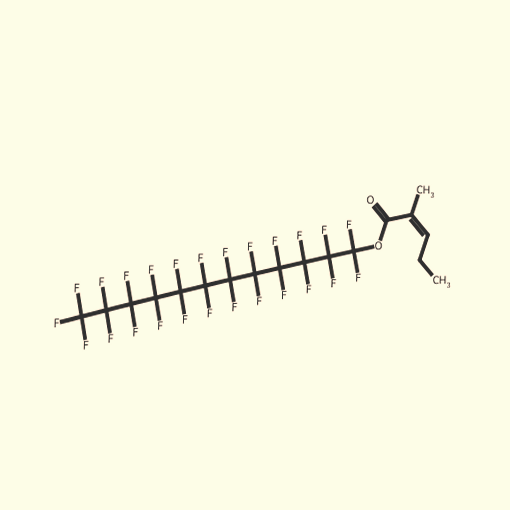 CCC=C(C)C(=O)OC(F)(F)C(F)(F)C(F)(F)C(F)(F)C(F)(F)C(F)(F)C(F)(F)C(F)(F)C(F)(F)C(F)(F)C(F)(F)C(F)(F)F